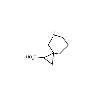 O=C(O)C1CC12CCCNC2